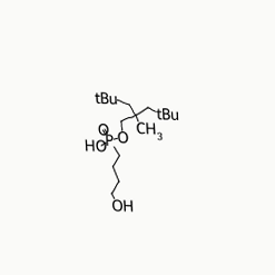 CC(C)(C)CC(C)(COP(=O)(O)CCCCO)CC(C)(C)C